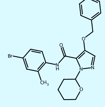 Cc1cc(Br)ccc1NC(=O)c1c(OCc2ccccc2)cnn1C1CCCCO1